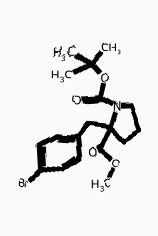 COC(=O)C1(Cc2ccc(Br)cc2)CCCN1C(=O)OC(C)(C)C